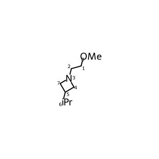 COCCN1CC(C(C)C)C1